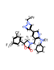 CCN(c1ncc(-c2cnn(CC(C)C)c2)cc1CN1C(=O)OC(c2cc(C(F)(F)F)cc(C(F)(F)F)c2)[C@@H]1C)C1CCCCC1